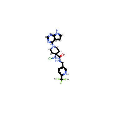 O=C(NCc1ccc(C(F)(F)F)nc1)C1(NCl)CCN(c2ncnc3[nH]ccc23)CC1